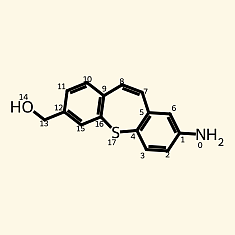 Nc1ccc2c(c1)C=Cc1ccc(CO)cc1S2